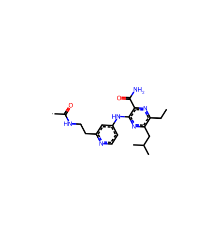 [CH2]C(=O)NCCc1cc(Nc2nc(CC(C)C)c(CC)nc2C(N)=O)ccn1